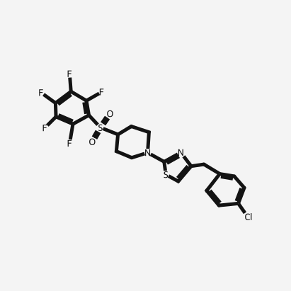 O=S(=O)(c1c(F)c(F)c(F)c(F)c1F)C1CCN(c2nc(Cc3ccc(Cl)cc3)cs2)CC1